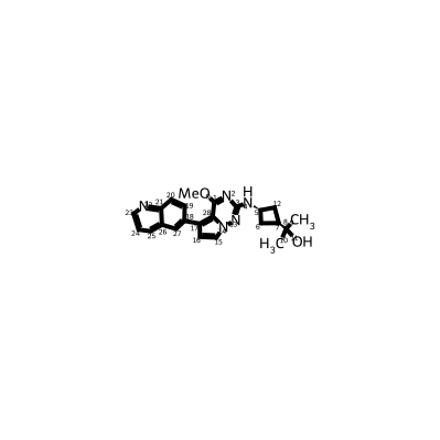 COc1nc(N[C@H]2C[C@H](C(C)(C)O)C2)nn2ccc(-c3ccc4ncccc4c3)c12